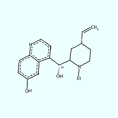 C=CC1CCN(CC)C([C@H](O)c2ccnc3ccc(O)cc23)C1